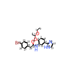 CCOC(C)Oc1ccc(-c2ncc[nH]2)cc1NC(=O)Cc1ccc(Br)cc1